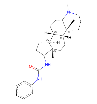 CN1CCC[C@@]2(C)C1CC[C@@H]1[C@H]2CC[C@]2(C)C(NC(=O)Nc3ccccc3)CC[C@@H]12